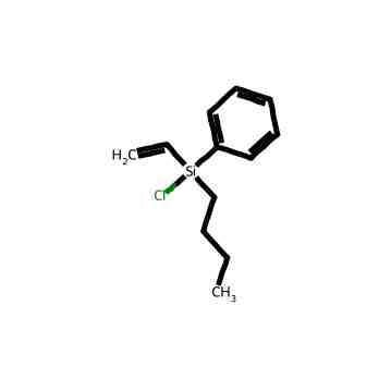 C=C[Si](Cl)(CCCC)c1ccccc1